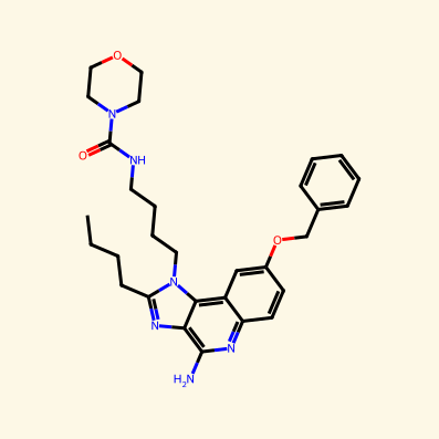 CCCCc1nc2c(N)nc3ccc(OCc4ccccc4)cc3c2n1CCCCNC(=O)N1CCOCC1